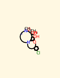 C[C@@H]1C(=O)N(C)C/C=C\CCCCCN2CCCCc3cc(Cl)ccc3COc3ccc(cc32)[C@]1(O)C(=O)O